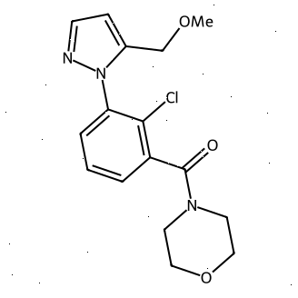 COCc1ccnn1-c1cccc(C(=O)N2CCOCC2)c1Cl